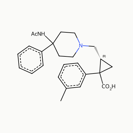 CC(=O)NC1(c2ccccc2)CCN(C[C@@H]2CC2(C(=O)O)c2cccc(C)c2)CC1